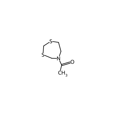 CC(=O)N1CCSCSC1